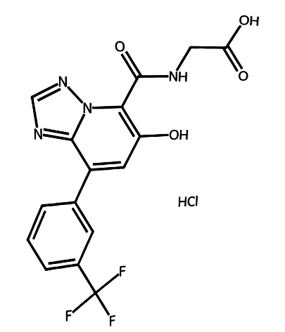 Cl.O=C(O)CNC(=O)c1c(O)cc(-c2cccc(C(F)(F)F)c2)c2ncnn12